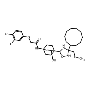 COCC1(C2CCCCCCCCC2)NOC(C23CCC(NC(=O)COc4ccc(Cl)c(F)c4)(CC2)CC3O)N1